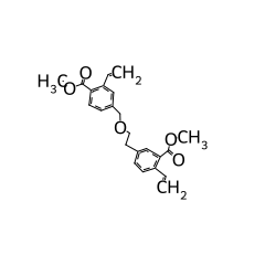 C=Cc1cc(COCCc2ccc(C=C)c(C(=O)OC)c2)ccc1C(=O)OC